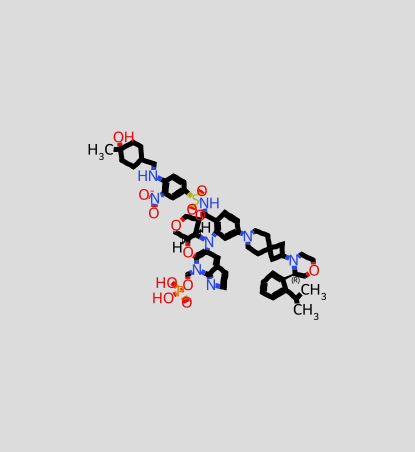 CC(C)c1ccccc1[C@@H]1COCCN1C1CC2(CCN(c3ccc(C(=O)NS(=O)(=O)c4ccc(NCC5CCC(C)(O)CC5)c([N+](=O)[O-])c4)c(N4c5cc6ccnc-6n(COP(=O)(O)O)c5O[C@H]5COCC[C@@H]54)c3)CC2)C1